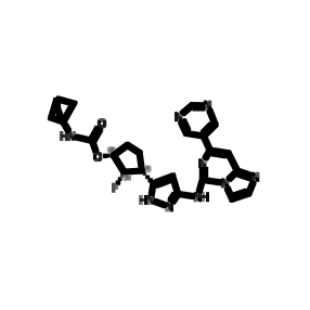 O=C(NC12CC(C1)C2)O[C@@H]1CC[C@H](c2cc(Nc3nc(-c4cncnc4)cc4nccn34)n[nH]2)[C@@H]1F